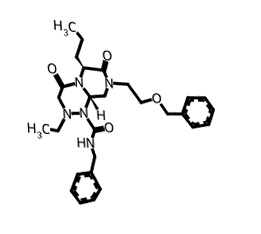 CCC[C@H]1C(=O)N(CCOCc2ccccc2)C[C@H]2N1C(=O)CN(CC)N2C(=O)NCc1ccccc1